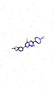 CCN1CC=C(c2cn3c(=O)cc(-c4ccc5nc(C)oc5c4)nc3cn2)CC1